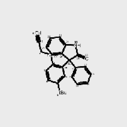 C#CCOc1ccc(C(C)(C)C)cc1C1(c2ccccc2)C(=O)Nc2ccccc21